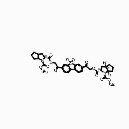 CC(C)(C)OC(=O)N1C2CCCC2C[C@H]1C(=O)OCC(=O)c1ccc2c(c1)S(=O)(=O)c1cc(C(=O)COC(=O)[C@@H]3C[C@@H]4CCC[C@@H]4N3C(=O)OC(C)(C)C)ccc1-2